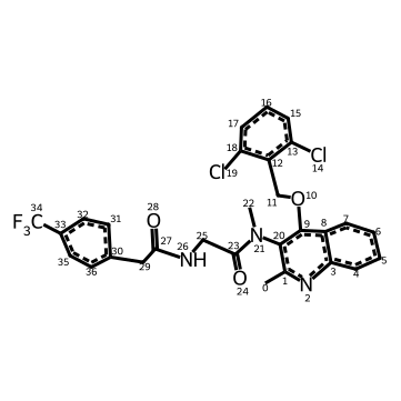 Cc1nc2ccccc2c(OCc2c(Cl)cccc2Cl)c1N(C)C(=O)CNC(=O)Cc1ccc(C(F)(F)F)cc1